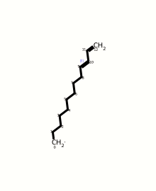 [CH2]CCCCCCCC/C=C/C=C